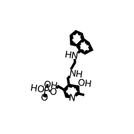 Cc1ncc(COP(=O)(O)O)c(CNCCNc2cccc3ccccc23)c1O